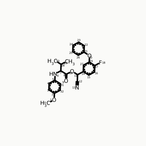 COc1ccc(NC(C(=O)OC(C#N)c2ccc(F)c(Oc3ccccc3)c2)C(C)C)cc1